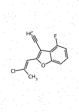 C#Cc1c(/C=C(\C)Cl)oc2cccc(F)c12